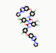 O=C(Nc1ccc(F)c(Oc2ccc3ncc(N4CCCC4)nc3c2)c1)N(c1ccc(Cl)c(F)c1)N(C(=O)Nc1ccc(F)c(Oc2ccc3ncc(N4CCCC4)nc3c2)c1)c1ccc(Cl)c(C(F)(F)F)c1